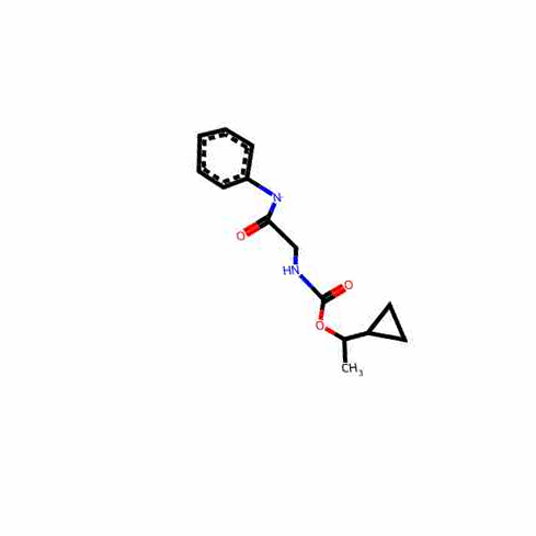 CC(OC(=O)NCC(=O)[N]c1ccccc1)C1CC1